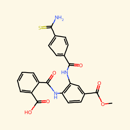 COC(=O)c1ccc(NC(=O)c2ccccc2C(=O)O)c(NC(=O)c2ccc(C(N)=S)cc2)c1